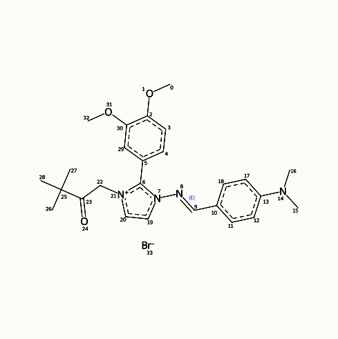 COc1ccc(-c2n(/N=C/c3ccc(N(C)C)cc3)cc[n+]2CC(=O)C(C)(C)C)cc1OC.[Br-]